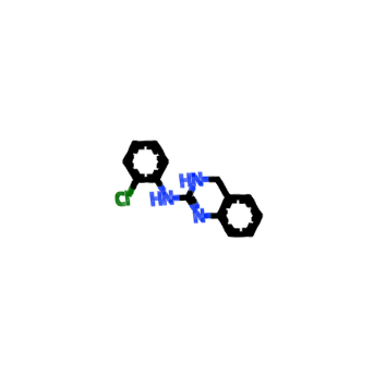 Clc1ccccc1NC1=Nc2ccccc2CN1